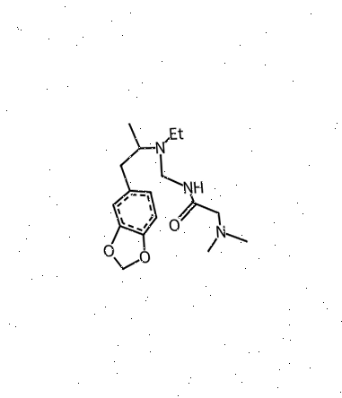 CCN(CNC(=O)CN(C)C)C(C)Cc1ccc2c(c1)OCO2